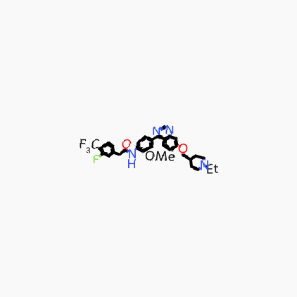 CCN1CCC(COc2cc3ncnc(-c4ccc(NC(=O)Cc5ccc(C(F)(F)F)c(F)c5)cc4)c3cc2OC)CC1